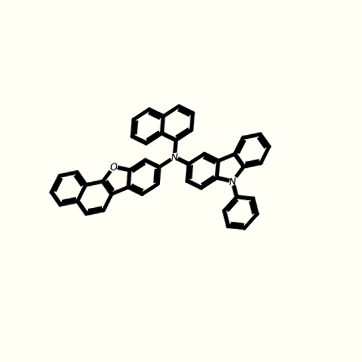 c1ccc(-n2c3ccccc3c3cc(N(c4ccc5c(c4)oc4c6ccccc6ccc54)c4cccc5ccccc45)ccc32)cc1